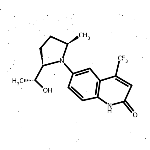 C[C@@H]1CC[C@H]([C@@H](C)O)N1c1ccc2[nH]c(=O)cc(C(F)(F)F)c2c1